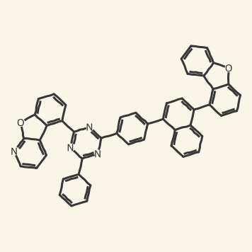 c1ccc(-c2nc(-c3ccc(-c4ccc(-c5cccc6oc7ccccc7c56)c5ccccc45)cc3)nc(-c3cccc4oc5ncccc5c34)n2)cc1